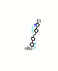 CCCCc1ccc(-c2ccc(CCc3ccc(-c4ccc(CC)cn4)c(F)c3F)cc2)c(F)c1F